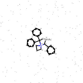 CCC(c1ccccc1)(c1ccccc1)[N+]1(C(NC(C)=O)c2ccccc2)CCC1